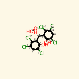 OO.Oc1c(Cl)cc(Cl)c(Cl)c1Cc1c(O)c(Cl)cc(Cl)c1Cl